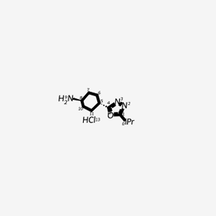 CC(C)c1nnc([C@H]2CC[C@H](N)CC2)o1.Cl